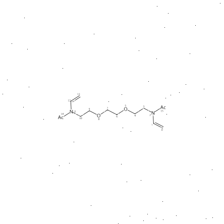 C=CN(CCOCCOCCN(C=C)C(C)=O)C(C)=O